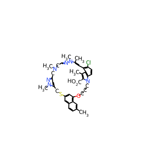 C/C1=C\c2c(Cl)ccc3c2c(C)c(C(=O)O)n3CCCOc2cc(cc3ccc(C)cc23)SCc2cc(nn2C)CN(C)C/C=N/N1C